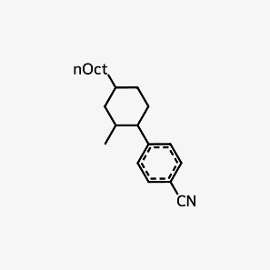 CCCCCCCCC1CCC(c2ccc(C#N)cc2)C(C)C1